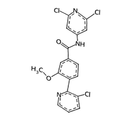 COc1cc(C(=O)Nc2cc(Cl)nc(Cl)c2)ccc1-c1ncccc1Cl